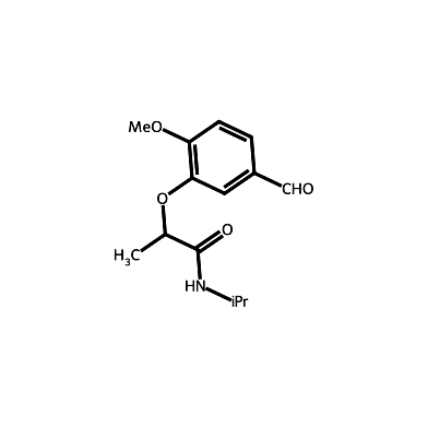 COc1ccc(C=O)cc1OC(C)C(=O)NC(C)C